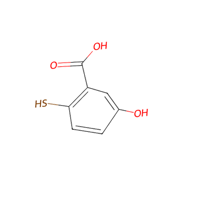 O=C(O)c1cc(O)ccc1S